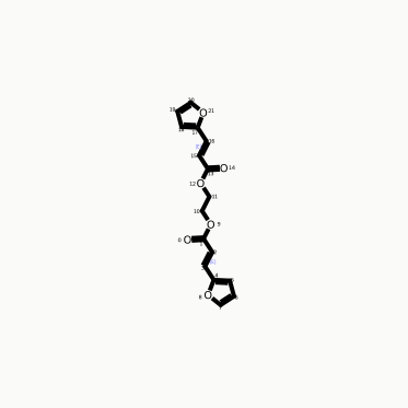 O=C(/C=C/c1ccco1)OCCOC(=O)/C=C/c1ccco1